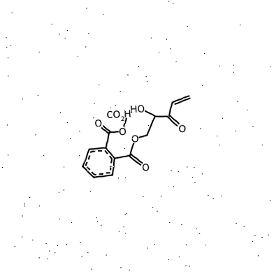 C=CC(=O)C(O)COC(=O)c1ccccc1C(=O)OC(=O)O